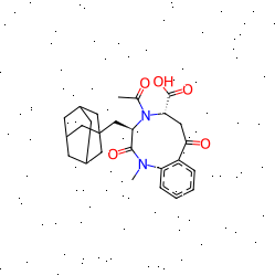 CC(=O)N1[C@H](CC23CC4CC(CC(C4)C2)C3)C(=O)N(C)c2ccccc2C(=O)C[C@H]1C(=O)O